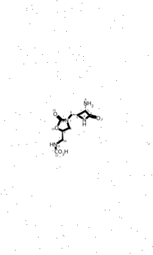 N[C@@H]1C(=O)N[C@@H]1CN1C[C@@H](CNC(=O)O)OC1=O